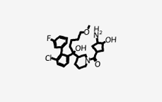 COCCCCC(O)(c1cccc(Cl)c1-c1cccc(F)c1)C1CCCN(C(=O)C2CC(N)C(O)C2)C1